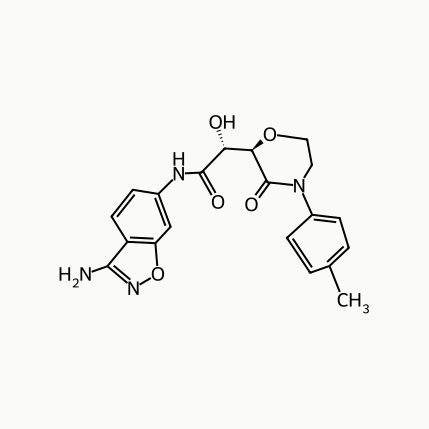 Cc1ccc(N2CCO[C@H]([C@@H](O)C(=O)Nc3ccc4c(N)noc4c3)C2=O)cc1